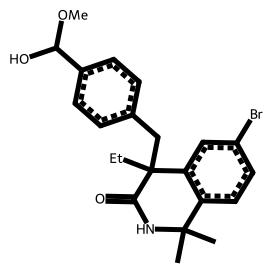 CCC1(Cc2ccc(C(O)OC)cc2)C(=O)NC(C)(C)c2ccc(Br)cc21